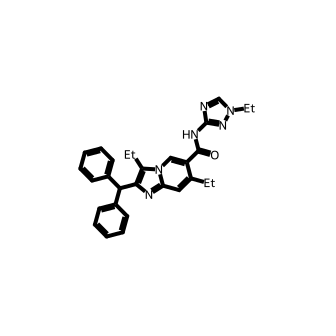 CCc1cc2nc(C(c3ccccc3)c3ccccc3)c(CC)n2cc1C(=O)Nc1ncn(CC)n1